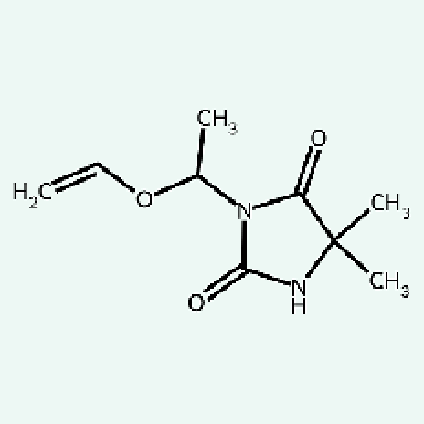 C=COC(C)N1C(=O)NC(C)(C)C1=O